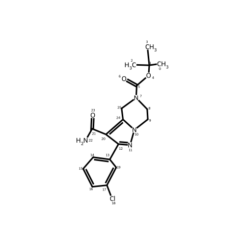 CC(C)(C)OC(=O)N1CCn2nc(-c3cccc(Cl)c3)c(C(N)=O)c2C1